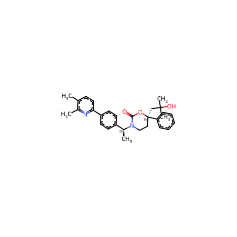 Cc1ccc(-c2ccc([C@H](C)N3CC[C@](CC(C)(C)O)(c4ccccc4)OC3=O)cc2)nc1C